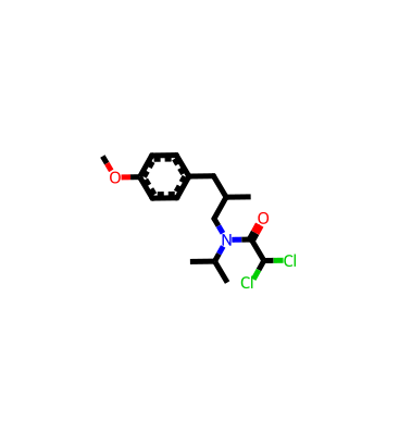 COc1ccc(CC(C)CN(C(=O)C(Cl)Cl)C(C)C)cc1